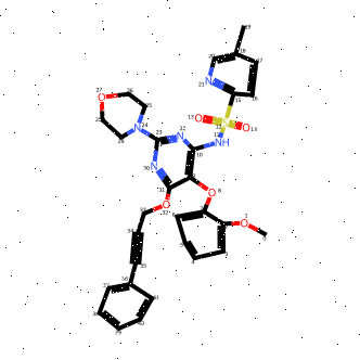 COc1ccccc1Oc1c(NS(=O)(=O)c2ccc(C)cn2)nc(N2CCOCC2)nc1OCC#Cc1ccccc1